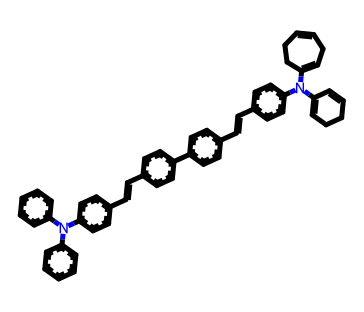 C1=CCCC(N(C2=CCCC=C2)c2ccc(/C=C/c3ccc(-c4ccc(/C=C/c5ccc(N(c6ccccc6)c6ccccc6)cc5)cc4)cc3)cc2)=CC1